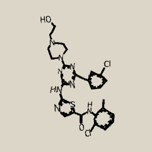 Cc1cccc(Cl)c1NC(=O)c1cnc(Nc2nc(-c3cccc(Cl)c3)nc(N3CCN(CCO)CC3)n2)s1